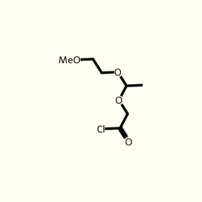 COCCOC(C)OCC(=O)Cl